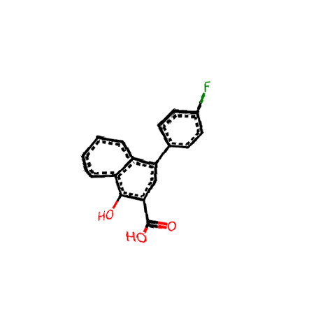 O=C(O)c1cc(-c2ccc(F)cc2)c2ccccc2c1O